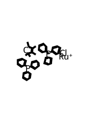 CC1=[C-]C(C)(C)C(C)=C1C.[Cl][Ru+].c1ccc(P(c2ccccc2)c2ccccc2)cc1.c1ccc(P(c2ccccc2)c2ccccc2)cc1